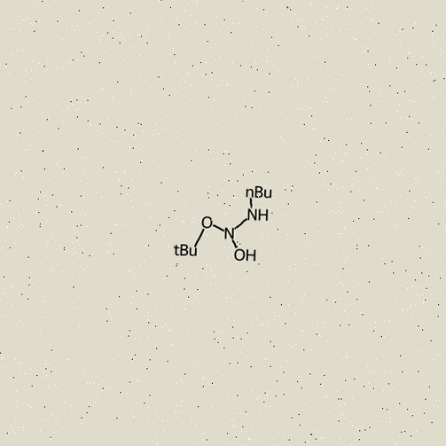 CCCCNN(O)OC(C)(C)C